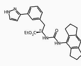 CCOC(=O)[C@@H](Cc1cccc(-c2cc[nH]n2)c1)NC(=O)Nc1c2c(cc3c1CCC3)CCC2